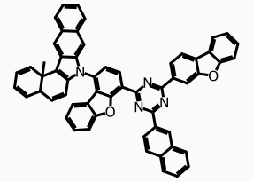 CC12C=CC=CC1C=Cc1c2c2cc3ccccc3cc2n1-c1ccc(-c2nc(-c3ccc4ccccc4c3)nc(-c3ccc4c(c3)oc3ccccc34)n2)c2oc3ccccc3c12